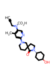 C#CCN(C(=O)O)c1cnc(N2CCCC3(CCN([C@H]4CC[C@H](O)CC4)C3=O)C2)cc1C